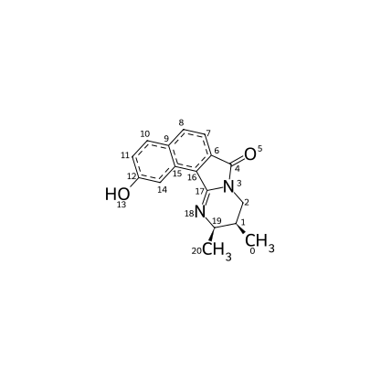 C[C@@H]1CN2C(=O)c3ccc4ccc(O)cc4c3C2=N[C@@H]1C